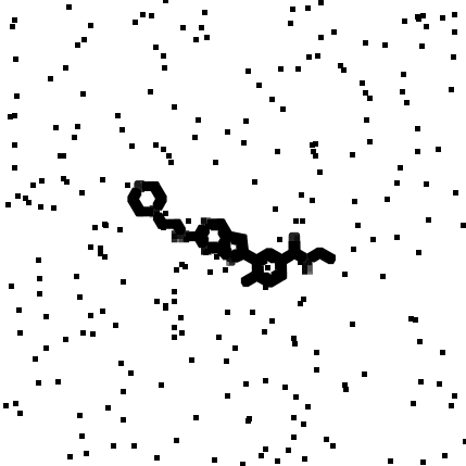 CCNC(=O)c1ccc(C)c(-c2cc3cnc(NCCN4CCOCC4)nc3s2)c1